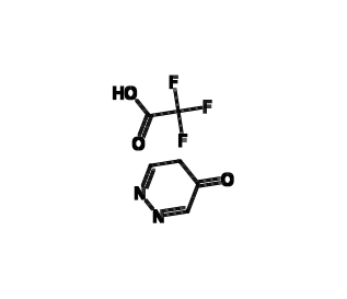 O=C(O)C(F)(F)F.O=C1C=NN=CC1